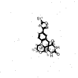 CCc1nc(-c2ccc3c(c2)CC2(C(=O)NC(=O)NC2=O)[C@H]2[C@H](C)O[C@H](C)CN32)no1